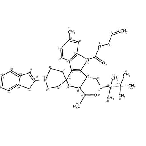 C=CCOC(=O)n1c2c(c3ccc(C)cc31)C1(CCN(C3=Nc4ccccc4C3)CC1)CN(C(C)=O)[C@H]2CO[Si](C)(C)C(C)(C)C